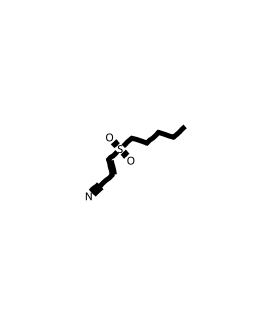 CCCCCS(=O)(=O)C=CC#N